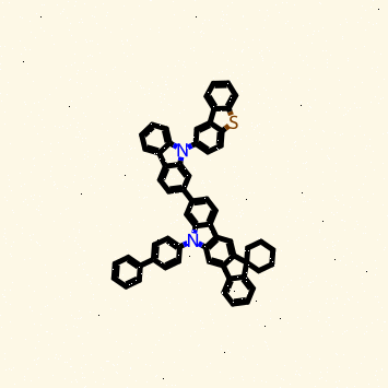 c1ccc(-c2ccc(-n3c4cc(-c5ccc6c7ccccc7n(-c7ccc8sc9ccccc9c8c7)c6c5)ccc4c4cc5c(cc43)-c3ccccc3C53CCCCC3)cc2)cc1